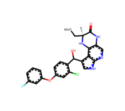 COC[C@]1(C)Nc2c(cnc3[nH]cc(C(O)c4ccc(Oc5cccc(F)c5)cc4Cl)c23)NC1=O